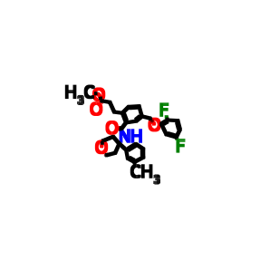 COC(=O)CCc1ccc(COc2cc(F)ccc2F)cc1C(=O)NC1(c2cccc(C)c2)CCOCC1